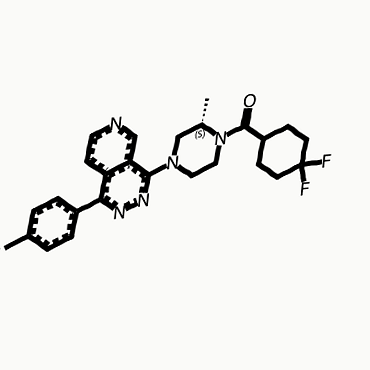 [CH2]c1ccc(-c2nnc(N3CCN(C(=O)C4CCC(F)(F)CC4)[C@@H](C)C3)c3cnccc23)cc1